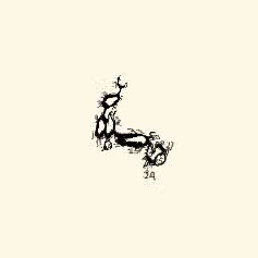 CCC(C)c1ccc(-c2cccc3c(OC)c(-c4ccc(N5C[C@@H](C)O[C@@H](C)C5)c(F)c4)cnc23)cc1